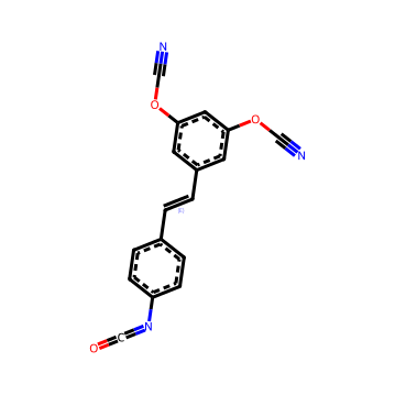 N#COc1cc(/C=C/c2ccc(N=C=O)cc2)cc(OC#N)c1